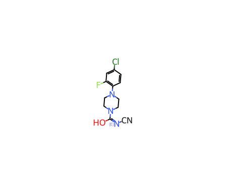 N#C/N=C(/O)N1CCN(c2ccc(Cl)cc2F)CC1